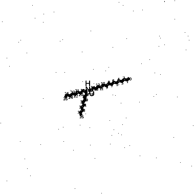 CCCCCCCCCCCCCCCC(=O)NC(CCCCCCCC)CCCCCCCCC